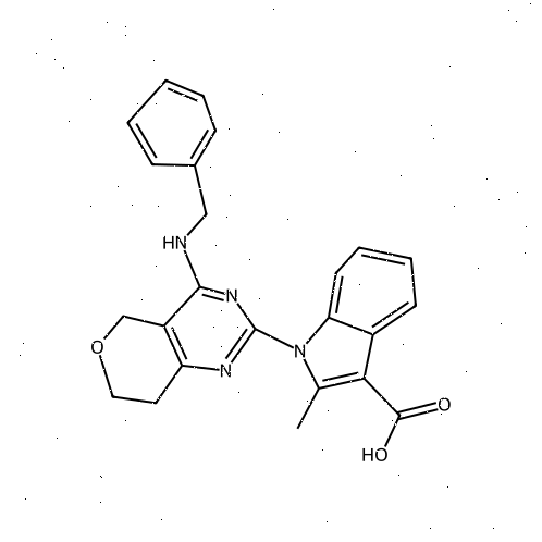 Cc1c(C(=O)O)c2ccccc2n1-c1nc2c(c(NCc3ccccc3)n1)COCC2